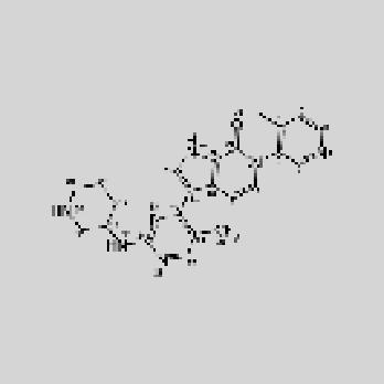 Cc1ccncc1-n1ccc2c(-c3nc(NC4CCCNC4)ncc3C(F)(F)F)c[nH]c2c1=O